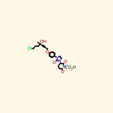 CC(O)(C#CCOc1ccc(N2CCN(C3CCC(=O)N(C(=O)O)C3=O)C2=O)cc1)CCCCl